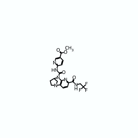 COC(=O)c1ccc(NC(=O)N2c3nc(C(=O)NCC(F)(F)F)ccc3N3CCC2C3)nc1